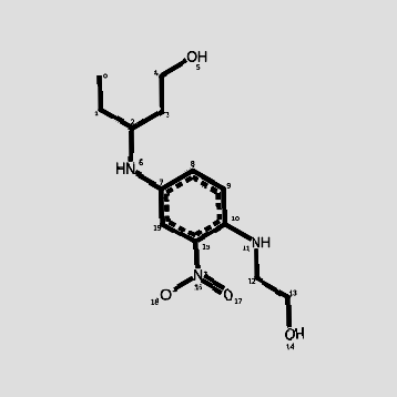 CCC(CCO)Nc1ccc(NCCO)c([N+](=O)[O-])c1